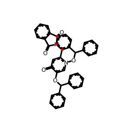 O=C1c2ccccc2C(=O)N1Cc1cc(=O)c(OC(c2ccccc2)c2ccccc2)cn1OC(c1ccccc1)c1ccccc1